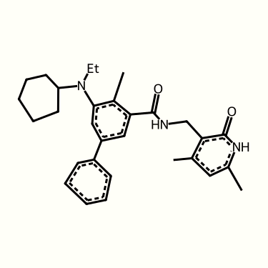 CCN(c1cc(-c2ccccc2)cc(C(=O)NCc2c(C)cc(C)[nH]c2=O)c1C)C1CCCCC1